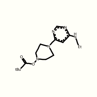 CCNc1cc(N2CCN(OC(=O)C(C)(C)C)CC2)ncn1